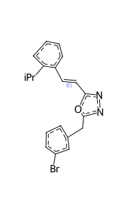 CC(C)c1ccccc1/C=C/c1nnc(Cc2cccc(Br)c2)o1